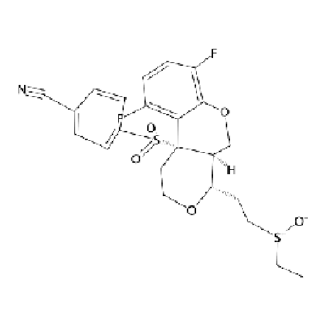 CC[S+]([O-])CC[C@@H]1OCC[C@@]2(S(=O)(=O)c3ccc(C#N)cc3)c3c(F)ccc(F)c3OC[C@@H]12